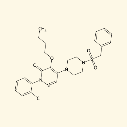 CCCCOc1c(N2CCN(S(=O)(=O)Cc3ccccc3)CC2)cnn(-c2ccccc2Cl)c1=O